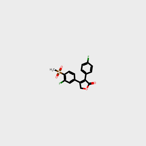 CS(=O)(=O)c1ccc(C2=C(c3ccc(F)cc3)C(=O)OC2)cc1F